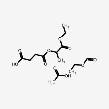 CC(=O)O.CCOC(=O)C(C)OC(=O)CCC(=O)O.CCOC=O